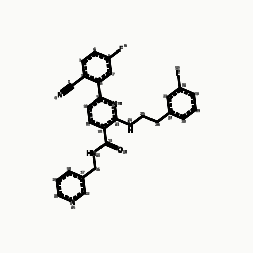 N#Cc1ccc(F)cc1-c1ccc(C(=O)NCc2cccnc2)c(NCCc2cccc(F)c2)n1